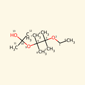 CCOC(C)(C)C(C)(C)OC(C)(C)O